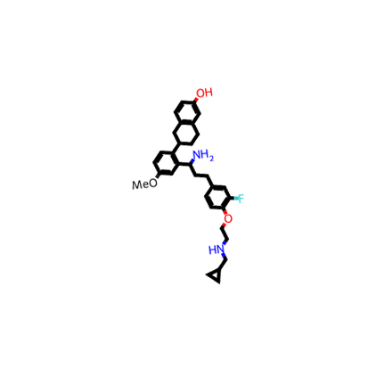 COc1ccc(C2CCc3cc(O)ccc3C2)c(C(N)CCc2ccc(OCCNCC3CC3)c(F)c2)c1